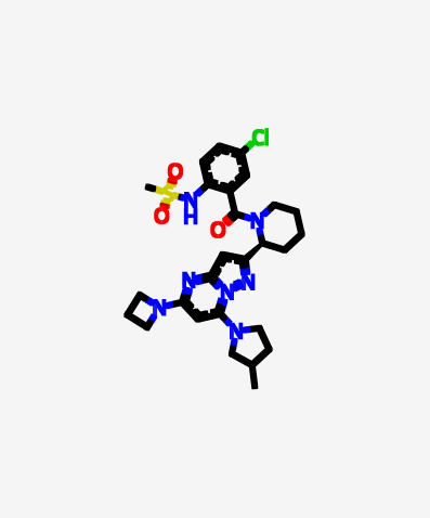 CC1CCN(c2cc(N3CCC3)nc3cc([C@@H]4CCCCN4C(=O)c4cc(Cl)ccc4NS(C)(=O)=O)nn23)C1